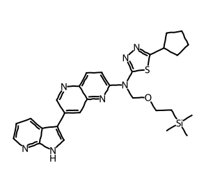 C[Si](C)(C)CCOCN(c1ccc2ncc(-c3c[nH]c4ncccc34)cc2n1)c1nnc(C2CCCC2)s1